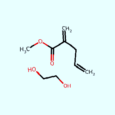 C=CCC(=C)C(=O)OC.OCCO